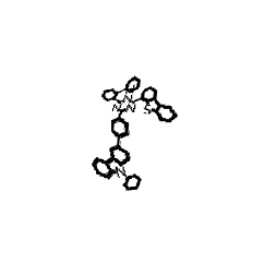 c1ccc(-c2ccccc2C2=NC(c3ccc(-c4ccc5c(c4)c4ccccc4n5-c4ccccc4)cc3)=NC(c3cccc4c3sc3ccccc34)N2)cc1